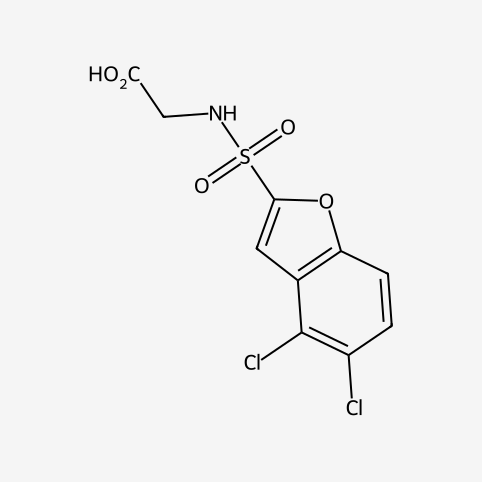 O=C(O)CNS(=O)(=O)c1cc2c(Cl)c(Cl)ccc2o1